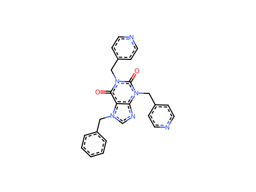 O=c1c2c(ncn2Cc2ccccc2)n(Cc2ccncc2)c(=O)n1Cc1ccncc1